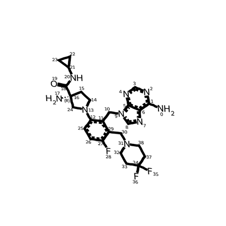 Nc1ncnc2c1ncn2Cc1c(N2CC[C@](N)(C(=O)NC3CC3)C2)ccc(F)c1CN1CCC(F)(F)CC1